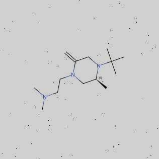 C=C1CN(C(C)(C)C)[C@@H](C)CN1CCN(C)C